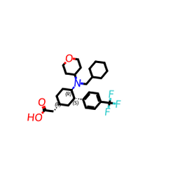 O=C(O)C[C@@H]1CC[C@@H](N(CC2CCCCC2)C2CCOCC2)[C@H](c2ccc(C(F)(F)F)cc2)C1